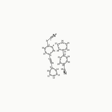 N#CCc1ccc(C#Cc2cc[c]cc2)cc1.N#Cc1ccc(-c2ccccc2)cc1